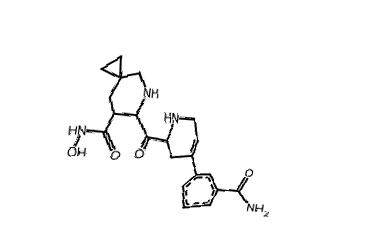 NC(=O)c1cccc(C2=CCNC(C(=O)C3NCC4(CC4)CC3C(=O)NO)C2)c1